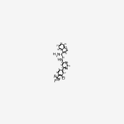 N[C@@H](CNc1cc(-c2ccc(C(F)(F)F)c(Cl)c2)ncn1)c1csc2ccccc12